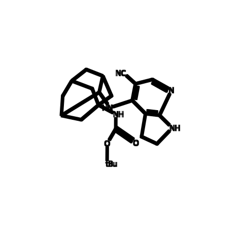 CC(C)(C)OC(=O)NC12CC3CC(C1)C(Nc1c(C#N)cnc4c1CCN4)C(C3)C2